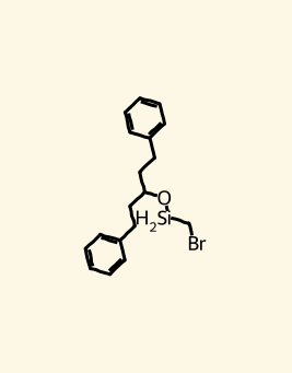 BrC[SiH2]OC(CCc1ccccc1)CCc1ccccc1